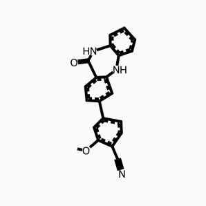 COc1cc(-c2ccc3c(c2)Nc2ccccc2NC3=O)ccc1C#N